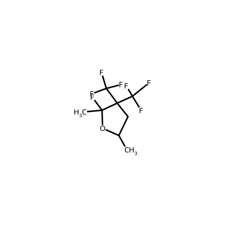 CC1CC(C(F)(F)F)(C(F)(F)F)C(C)(F)O1